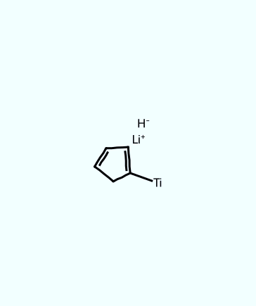 [H-].[Li+].[Ti][C]1=CC=CC1